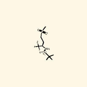 CC(C)(C)[S@@+]([O-])NC(CCS(C)(=O)=O)C(F)(F)F